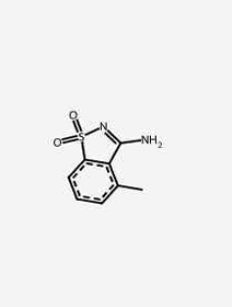 Cc1cccc2c1C(N)=NS2(=O)=O